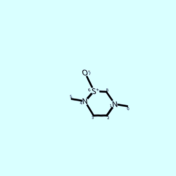 CN1CCN(C)[S+]([O-])C1